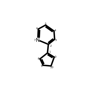 [C]1=C(c2ccccn2)C=CC1